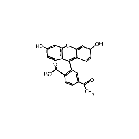 CC(=O)c1ccc(C(=O)O)c(C2=C3C=CC(O)C=C3Oc3cc(O)ccc32)c1